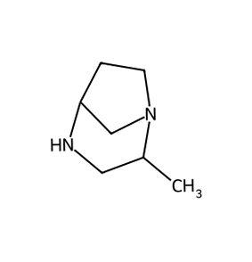 CC1CNC2CCN1C2